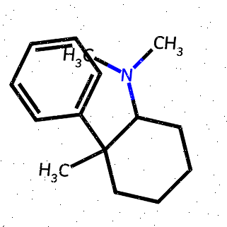 CN(C)C1CCCCC1(C)c1ccccc1